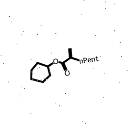 C=C(CCCCC)C(=O)OC1CCCCC1